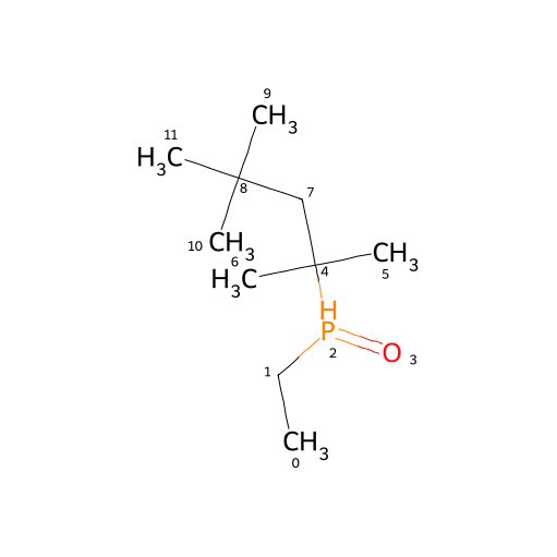 CC[PH](=O)C(C)(C)CC(C)(C)C